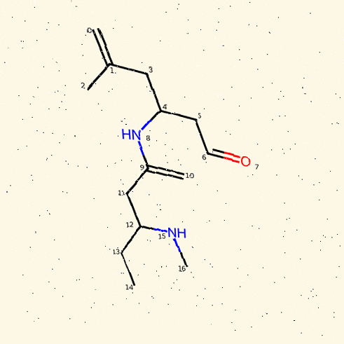 C=C(C)CC(CC=O)NC(=C)CC(CC)NC